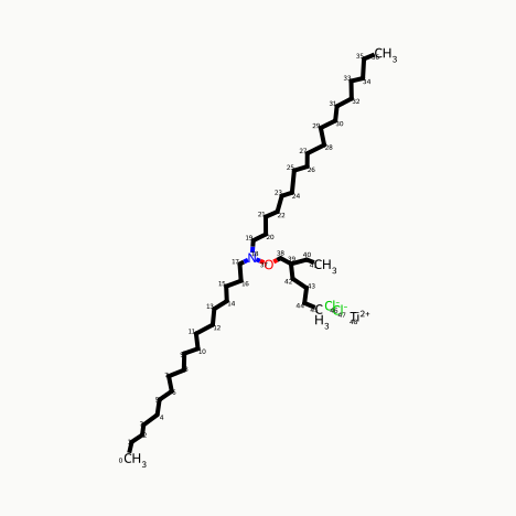 CCCCCCCCCCCCCCCCCCN(CCCCCCCCCCCCCCCCCC)OCC(CC)CCCC.[Cl-].[Cl-].[Ti+2]